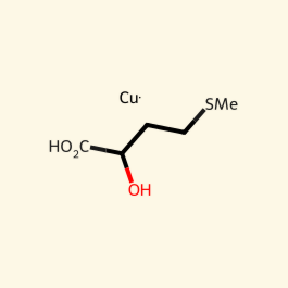 CSCCC(O)C(=O)O.[Cu]